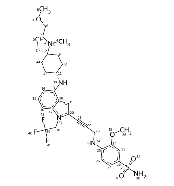 CC[C@]1(N(C)CCOC)CC[C@H](Nc2cccc3c2cc(C#CCNc2ccc(S(N)(=O)=O)cc2OC)n3CC(F)(F)F)CC1